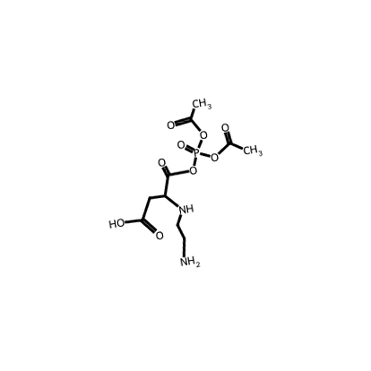 CC(=O)OP(=O)(OC(C)=O)OC(=O)C(CC(=O)O)NCCN